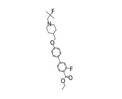 CCOC(=O)c1ccc(-c2ccc(OCC3CCN(CC(C)(C)F)CC3)cc2)cc1F